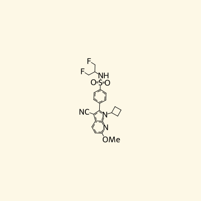 COc1ccc2c(C#N)c(-c3ccc(S(=O)(=O)NC(CF)CF)cc3)n(C3CCC3)c2n1